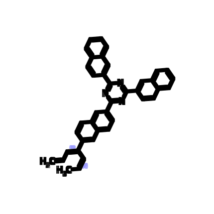 C=C/C=C(\C=C/C)c1ccc2cc(-c3nc(-c4ccc5ccccc5c4)nc(-c4ccc5ccccc5c4)n3)ccc2c1